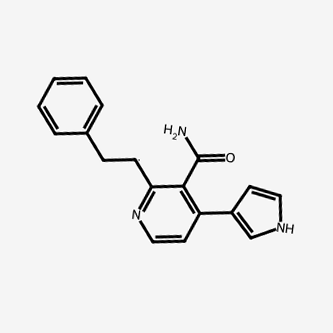 NC(=O)c1c(-c2cc[nH]c2)ccnc1[CH]Cc1ccccc1